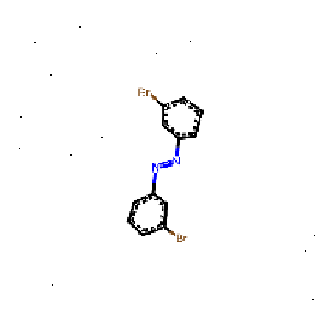 Brc1cccc(N=Nc2cccc(Br)c2)c1